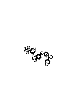 CC(C)S(=O)(=O)c1cncc(N2CCOc3ccc(OC4CCN(C(=O)C5CCOCC5)C4)cc32)c1